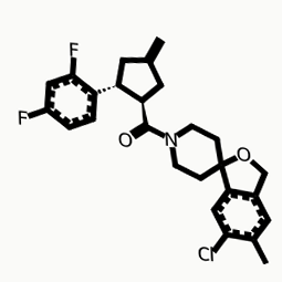 C=C1C[C@@H](C(=O)N2CCC3(CC2)OCc2cc(C)c(Cl)cc23)[C@H](c2ccc(F)cc2F)C1